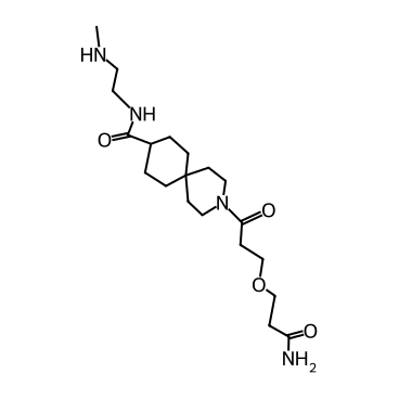 CNCCNC(=O)C1CCC2(CC1)CCN(C(=O)CCOCCC(N)=O)CC2